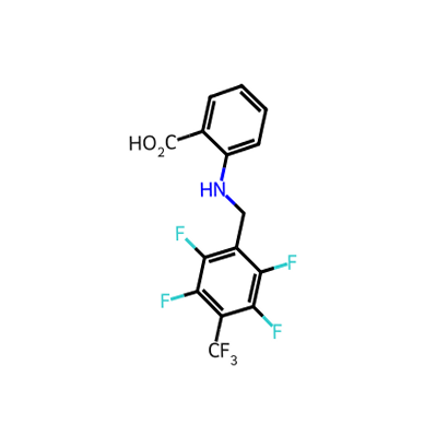 O=C(O)c1ccccc1NCc1c(F)c(F)c(C(F)(F)F)c(F)c1F